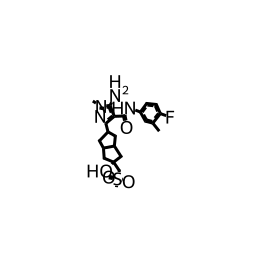 Cc1cc(NC(=O)c2c(C3CC4CC(O)(CS(C)(=O)=O)CC4C3)nn(C)c2N)ccc1F